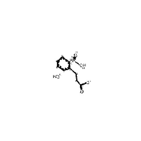 Cl.O=C(Cl)CCc1ccccc1[PH](=O)O